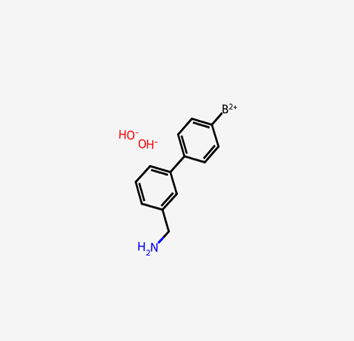 [B+2]c1ccc(-c2cccc(CN)c2)cc1.[OH-].[OH-]